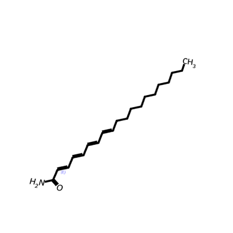 CCCCCCCCCCCC=CC=CC=C/C=C/C(N)=O